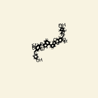 CCOc1cc(O[C@H]2CCc3c(-c4cccc5c4CC[C@@H]5Oc4cc(OCC)c(CN5CC6(CC(O)C6)C5)cc4Cl)cccc32)c(Cl)cc1CN1CCC(O)CC1